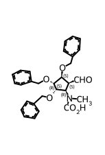 CN(C(=O)O)[C@@H]1[C@H](C=O)[C@H](OCc2ccccc2)[C@@H](OCc2ccccc2)[C@H]1OCc1ccccc1